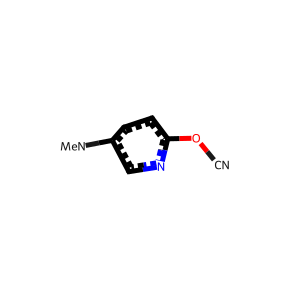 CNc1ccc(OC#N)nc1